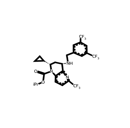 CC(C)OC(=O)N1c2ccc(C(F)(F)F)nc2[C@@H](NCc2cc(C(F)(F)F)cc(C(F)(F)F)c2)C[C@H]1C1CC1